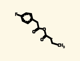 CC[CH]C(=O)OC(=O)Cc1ccc(F)cc1